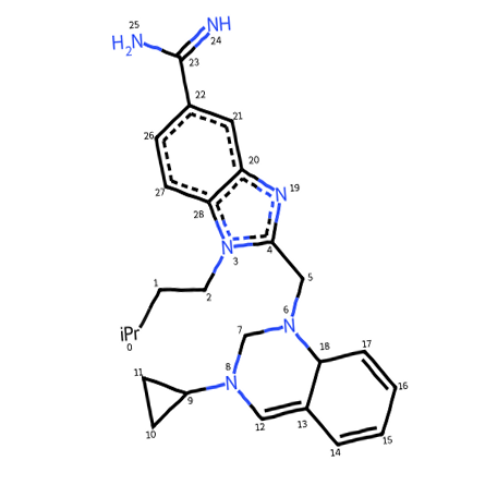 CC(C)CCn1c(CN2CN(C3CC3)C=C3C=CC=CC32)nc2cc(C(=N)N)ccc21